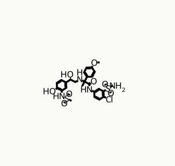 COc1ccc(C(C)(NC[C@@H](O)c2ccc(O)c(NS(C)(=O)=O)c2)C(=O)Nc2ccc(Cl)c(S(N)(=O)=O)c2)cc1